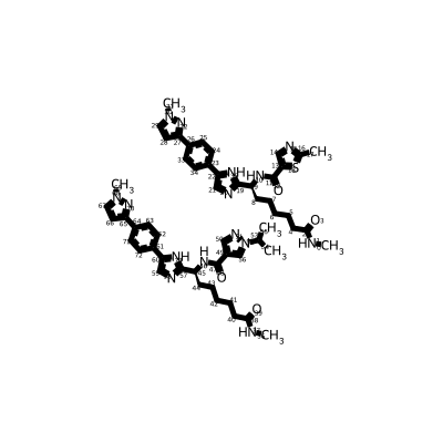 CNC(=O)CCCCC[C@H](NC(=O)c1cnc(C)s1)c1ncc(-c2ccc(-c3ccn(C)n3)cc2)[nH]1.CNC(=O)CCCCC[C@H](NC(=O)c1cnn(C(C)C)c1)c1ncc(-c2ccc(-c3ccn(C)n3)cc2)[nH]1